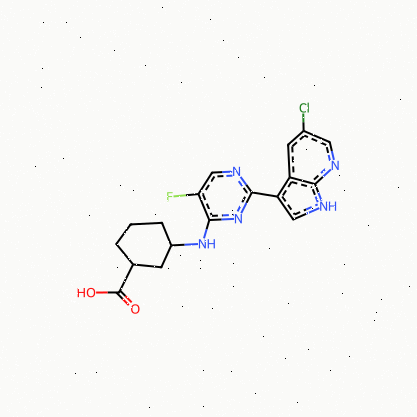 O=C(O)C1CCCC(Nc2nc(-c3c[nH]c4ncc(Cl)cc34)ncc2F)C1